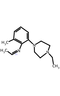 C/C=N\c1c(C)cccc1N1CCN(CC)CC1